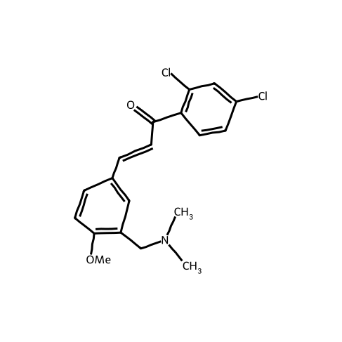 COc1ccc(C=CC(=O)c2ccc(Cl)cc2Cl)cc1CN(C)C